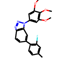 COc1cc(-n2nnc3ccc(-c4ccc(C)cc4F)cc32)cc(OC)c1OC